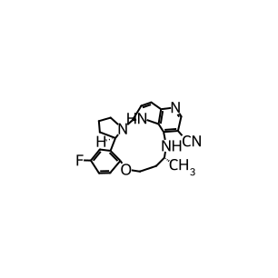 C[C@@H]1CCOc2ccc(F)cc2[C@H]2CCCN2C2C=Cc3ncc(C#N)c(c3N2)N1